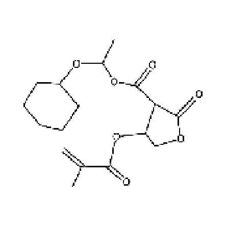 C=C(C)C(=O)OC1COC(=O)C1C(=O)OC(C)OC1CCCCC1